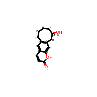 O=c1ccc2cc3c(cc2o1)CC(O)CCCC3